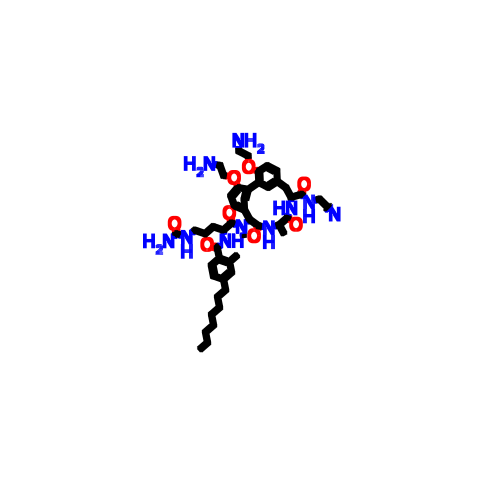 CCCCCCCCc1ccc(C(=O)NC(CCCNC(N)=O)C(=O)N(C)C2C(=O)NC(C)C(=O)NC(C(=O)NCC#N)Cc3ccc(OCCN)c(c3)-c3cc2ccc3OCCN)c(C)c1